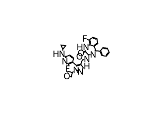 O=C(N[C@H]1N=C(c2ccccc2)c2cccc(F)c2NC1=O)c1cnn(C2COC2)c1-c1ccc(NC2CC2)nc1F